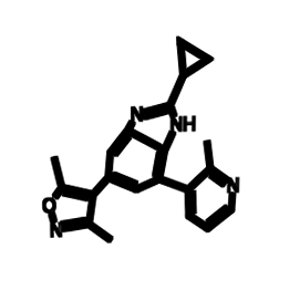 Cc1ncccc1-c1cc(-c2c(C)noc2C)cc2nc(C3CC3)[nH]c12